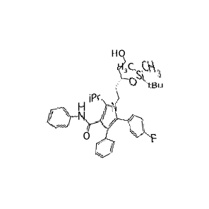 CC(C)c1c(C(=O)Nc2ccccc2)c(-c2ccccc2)c(-c2ccc(F)cc2)n1CC[C@H](CCO)O[Si](C)(C)C(C)(C)C